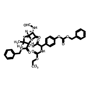 CC1(C)S[C@@H]2[C@H](NC=O)C(=O)N2[C@@]1(NC(=O)C(NC(=O)OCC(Cl)(Cl)Cl)c1ccc(OC(=O)OCc2ccccc2)cc1)C(=O)OCc1ccccc1